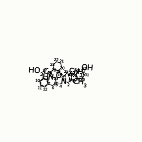 C[C@H]1CN(C[C@H](Cc2ccccc2)C(=O)N[C@H](C(=O)O)C2CCCCC2)CC[C@@]1(C)c1cccc(O)c1